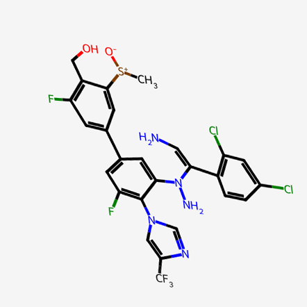 C[S+]([O-])c1cc(-c2cc(F)c(-n3cnc(C(F)(F)F)c3)c(N(N)/C(=C\N)c3ccc(Cl)cc3Cl)c2)cc(F)c1CO